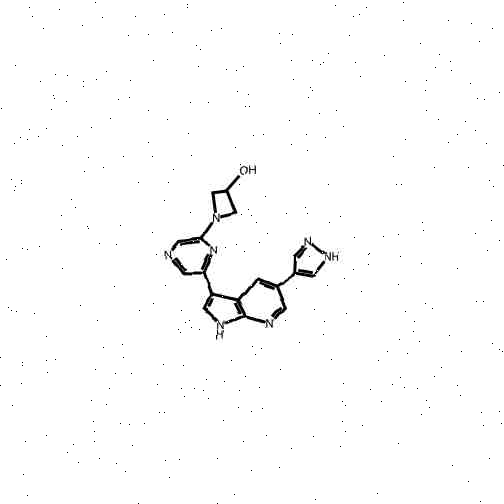 OC1CN(c2cncc(-c3c[nH]c4ncc(-c5cn[nH]c5)cc34)n2)C1